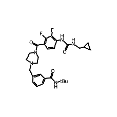 CC(C)(C)NC(=O)c1cccc(CN2CCN(C(=O)c3ccc(NC(=O)NCC4CC4)c(F)c3F)CC2)c1